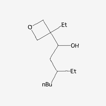 CCCCC(CC)CC(O)C1(CC)COC1